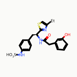 CCc1csc([C@H](Cc2ccc(NS(=O)(=O)O)cc2)NC(=O)Cc2cccc(O)c2)n1